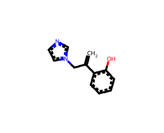 C=C(Cn1ccnc1)c1ccccc1O